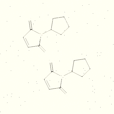 O=C1C=CC(=O)N1C1CCCC1.O=C1C=CC(=O)N1C1CCCC1